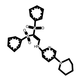 O=S(=O)(C(=CNc1ccc(N2CCCCC2)cn1)S(=O)(=O)c1ccccc1)c1ccccc1